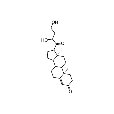 C[C@]12CCC3C(CCC4=CC(=O)CC[C@@]43C)C1CCC2C(=O)[C@@H](O)CCO